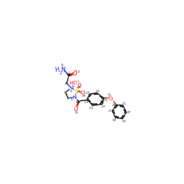 NC(=O)C[N+]1(O)CCN(C(=O)c2ccc(Oc3ccccc3)cc2)S1(=O)=O